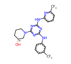 O[C@@H]1CCCN(c2nc(Nc3cccc(C(F)(F)F)c3)nc(Nc3cccc(C(F)(F)F)n3)n2)C1